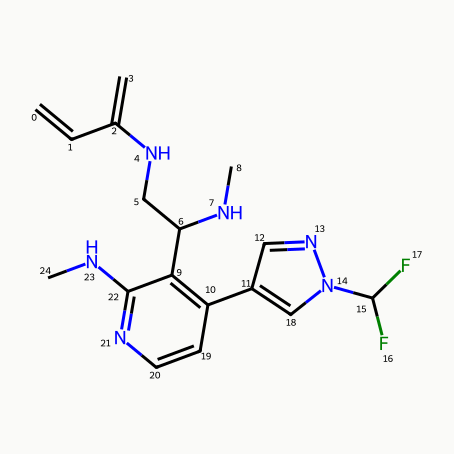 C=CC(=C)NCC(NC)c1c(-c2cnn(C(F)F)c2)ccnc1NC